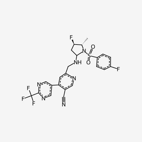 C[C@H]1[C@H](F)CC(NCc2cc(-c3cnc(C(F)(F)F)nc3)c(C#N)cn2)N1S(=O)(=O)c1ccc(F)cc1